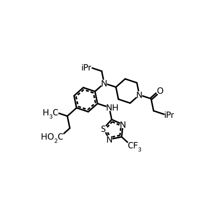 CC(C)CC(=O)N1CCC(N(CC(C)C)c2ccc(C(C)CC(=O)O)cc2Nc2nc(C(F)(F)F)ns2)CC1